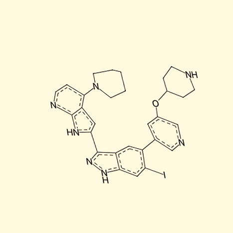 Ic1cc2[nH]nc(-c3cc4c(N5CCCCC5)ccnc4[nH]3)c2cc1-c1cncc(OC2CCNCC2)c1